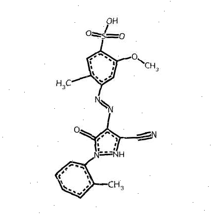 COc1cc(N=Nc2c(C#N)[nH]n(-c3ccccc3C)c2=O)c(C)cc1S(=O)(=O)O